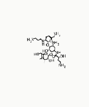 CN[C@@H](C)[C@@H](O)[C@H](OCCO)O[C@@H]1[C@@H](O)[C@H](O[C@H]2OC(CN)=CC[C@H]2NCCCN)[C@@H](N)C[C@H]1NC(=O)[C@@H](O)CCN